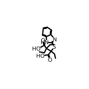 CCC(CC)(C(=O)O)C(CC)(Sc1nc2ccccc2[nH]1)C(=O)O